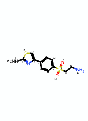 CC(=O)Nc1nc(-c2ccc(S(=O)(=O)CCN)cc2)cs1